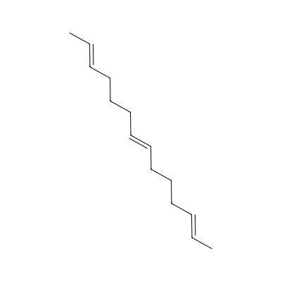 C/C=C/CCC/C=C/CCC/C=C/C